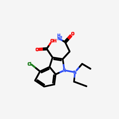 CCN(CC)n1c(CC(N)=O)c(C(=O)O)c2c(Cl)cccc21